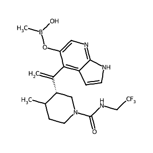 C=C(c1c(OB(C)O)cnc2[nH]ccc12)[C@@H]1CN(C(=O)NCC(F)(F)F)CCC1C